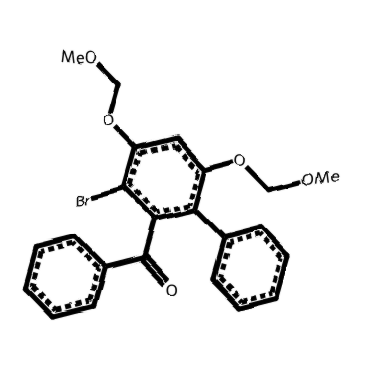 COCOc1cc(OCOC)c(-c2ccccc2)c(C(=O)c2ccccc2)c1Br